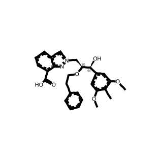 COc1cc([C@H](O)[C@H](Cn2cc3cccc(C(=O)O)c3n2)OCCc2ccccc2)cc(OC)c1C